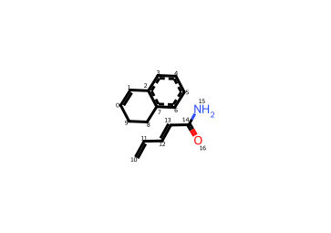 C1=Cc2ccccc2CC1.C=CC=CC(N)=O